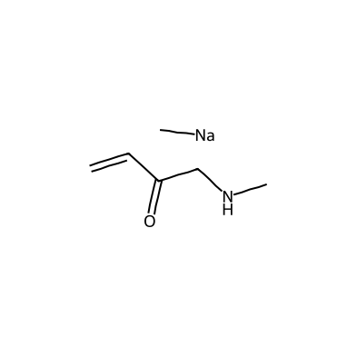 C=CC(=O)CNC.[CH3][Na]